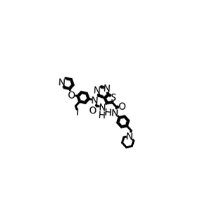 O=C(Nc1ccc(CN2CCCCC2)cc1)c1sc2ncnc3c2c1NC(=O)N3c1ccc(Oc2cccnc2)c(CI)c1